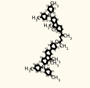 C=C(CCC(=C)c1ccc2c(c1)C(C)(C)c1cc(N(c3ccc(C)cc3)c3ccc(C)cc3)ccc1-2)Oc1ccc(-c2ccc3c(c2)C(C)(C)c2cc(N(c4ccc(C)cc4)c4ccc(C)cc4)ccc2-3)cc1